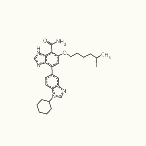 CC(I)CCCCOc1cc(-c2ccc3c(c2)ncn3C2CCCCC2)c2nc[nH]c2c1C(N)=O